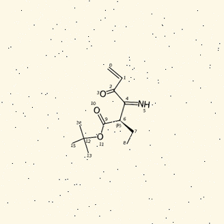 C=CC(=O)C(=N)[C@@H](CC)C(=O)OC(C)(C)C